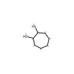 OC1CCCCCC1S